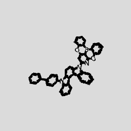 c1ccc(-c2ccc(-n3c4ccccc4c4c5c6ccccc6n(-c6cc7c8c(n6)Oc6ccccc6B8c6ccccc6O7)c5ccc43)cc2)cc1